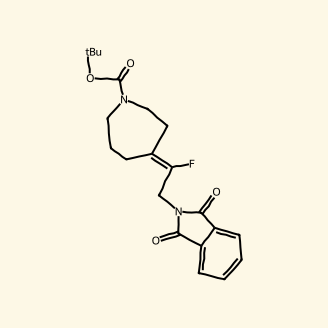 CC(C)(C)OC(=O)N1CCCC(=C(F)CN2C(=O)c3ccccc3C2=O)CC1